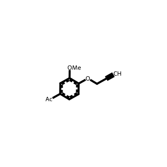 C#CCOc1ccc(C(C)=O)cc1OC